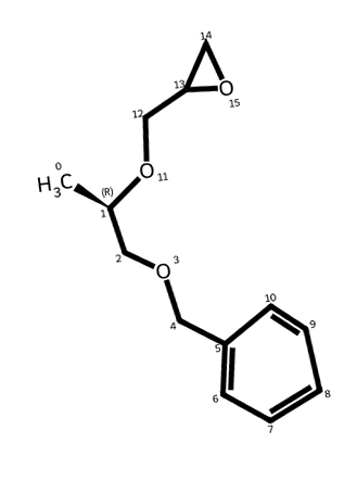 C[C@H](COCc1ccccc1)OCC1CO1